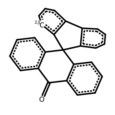 O=C1c2ccccc2C2(c3ccccc31)c1ccccc1-c1ccc[13cH]c12